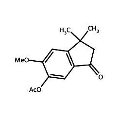 COc1cc2c(cc1OC(C)=O)C(=O)CC2(C)C